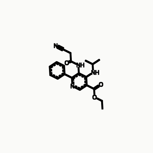 CCOC(=O)c1cnc(-c2ccccc2)c(NC(=O)CC#N)c1NC(C)C